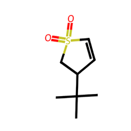 CC(C)(C)C1C=CS(=O)(=O)C1